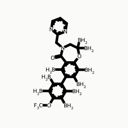 Bc1c(B)c(-c2c(B)c(B)c3c(c2B)C(=O)N(Cc2ncccn2)CC(B)(B)O3)c(B)c(B)c1OC(F)(F)F